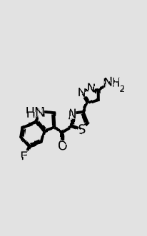 NC1=NN=C(c2csc(C(=O)c3c[nH]c4ccc(F)cc34)n2)C1